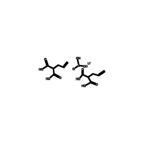 C=CCC(C(=O)O)C(=O)O.C=CCC(C(=O)O)C(=O)O.[Li+].[O-]B(O)O